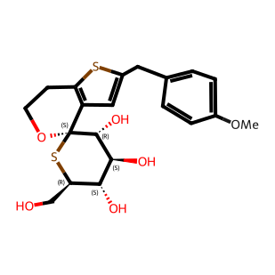 COc1ccc(Cc2cc3c(s2)CCO[C@]32S[C@H](CO)[C@@H](O)[C@H](O)[C@H]2O)cc1